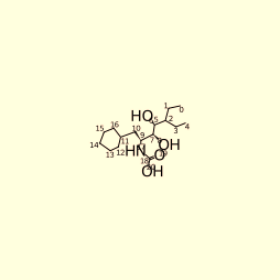 CCC(CC)[C@H](O)[C@@H](O)[C@H](CC1CCCCC1)NC(=O)O